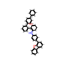 OC1=CCCC(Nc2ccc(-c3cccc4c3oc3ccccc34)cc2)=C1c1ccccc1-c1ccc(-c2ccccc2)cc1